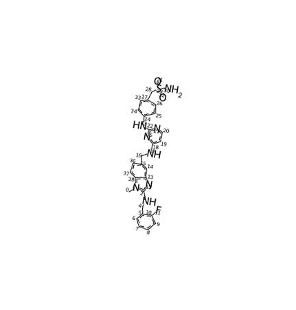 Cn1c(NCc2ccccc2F)nc2cc(CNc3ccnc(Nc4ccc(CS(N)(=O)=O)cc4)n3)ccc21